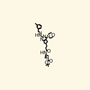 Cc1cccc(/C=N/Nc2nc3c(c(N4CCOCC4)n2)CC(CCC(=O)NC2CN(C(=O)OC(C)(C)C)C2)C3)c1